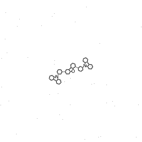 c1cc(-c2ccc3oc4c(-c5cccc(-n6c7ccccc7c7ccccc76)c5)cccc4c3c2)cc(-n2c3ccccc3c3ccccc32)c1